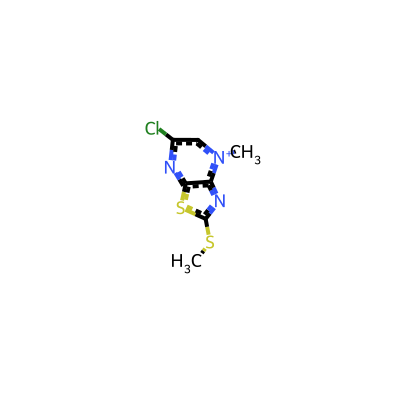 CSc1nc2c(nc(Cl)c[n+]2C)s1